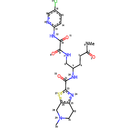 CNC(=O)CCC(CNC(=O)C(=O)Nc1ccc(Cl)cn1)NC(=O)c1nc2c(s1)CN(C)CC2